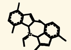 C[CH]=[Zr]([CH]1C(C)=Cc2c(C)ccc(C)c21)[CH]1C(C)=Cc2c(C)ccc(C)c21